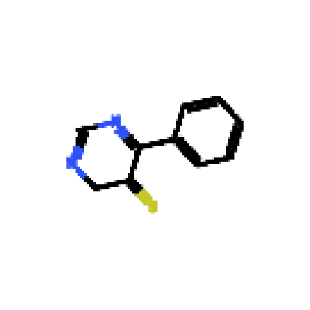 S=C1CN=[C]N=C1c1ccccc1